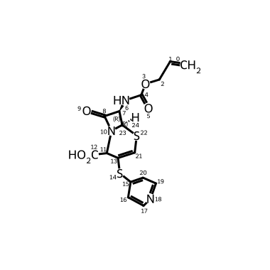 C=CCOC(=O)N[C@@H]1C(=O)N2C(C(=O)O)C(Sc3ccncc3)=CS[C@H]12